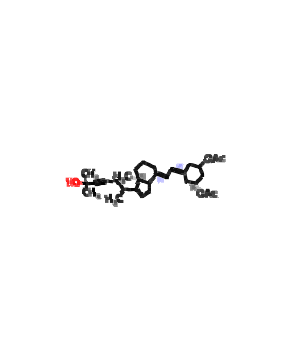 CC(=O)OC1C/C(=C/C=C2\CCC[C@]3(C)C(C(C)CC#CC(C)(C)O)=CCC23)C[C@@H](OC(C)=O)C1